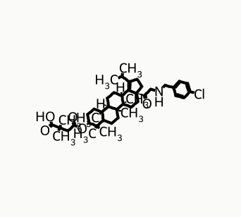 CC(C)C1=C2[C@H]3CC[C@@H]4[C@@]5(C)CC[C@H](OC(=O)CC(C)(C)C(=O)O)C(C)(C)C5CC[C@@]4(C)[C@]3(C)CC[C@@]2(C(=O)CNCc2ccc(Cl)cc2)CC1